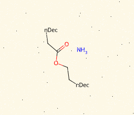 CCCCCCCCCCCCOC(=O)CCCCCCCCCCC.N